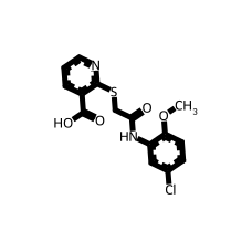 COc1ccc(Cl)cc1NC(=O)CSc1ncccc1C(=O)O